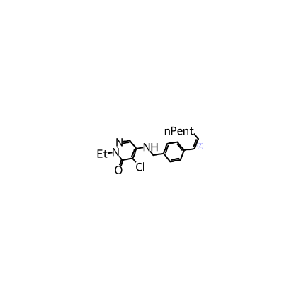 CCCCC/C=C\c1ccc(CNc2cnn(CC)c(=O)c2Cl)cc1